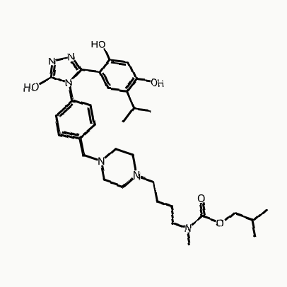 CC(C)COC(=O)N(C)CCCCN1CCN(Cc2ccc(-n3c(O)nnc3-c3cc(C(C)C)c(O)cc3O)cc2)CC1